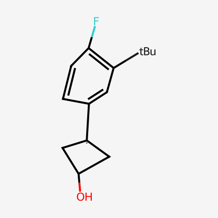 CC(C)(C)c1cc([C]2CC(O)C2)ccc1F